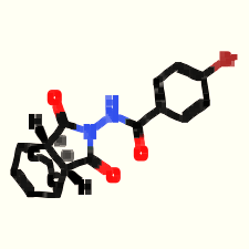 O=C(NN1C(=O)[C@@H]2C3C=CC(CCC3)[C@@H]2C1=O)c1ccc(Br)cc1